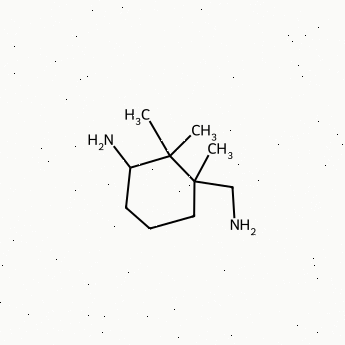 CC1(CN)CCCC(N)C1(C)C